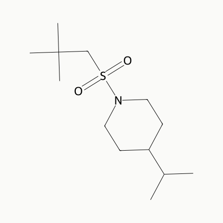 CC(C)C1CCN(S(=O)(=O)CC(C)(C)C)CC1